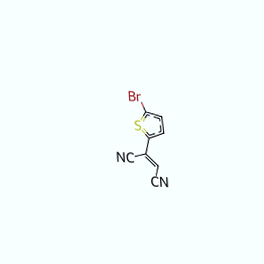 N#CC=C(C#N)c1ccc(Br)s1